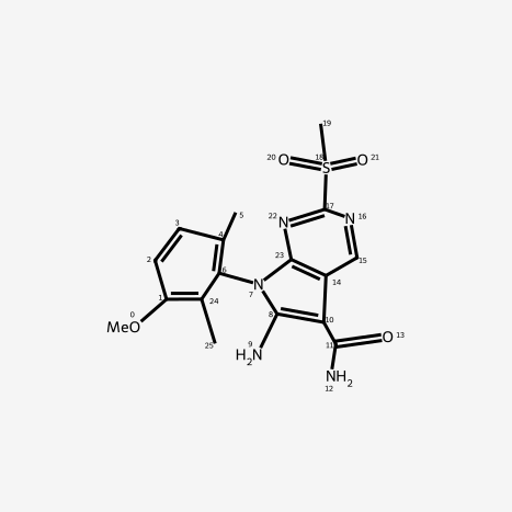 COc1ccc(C)c(-n2c(N)c(C(N)=O)c3cnc(S(C)(=O)=O)nc32)c1C